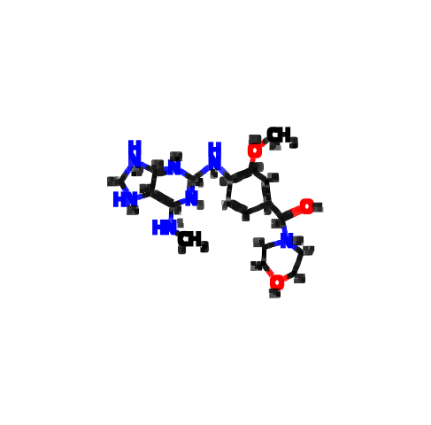 CNc1nc(Nc2ccc(C(=O)N3CCOCC3)cc2OC)nc2c1NCN2